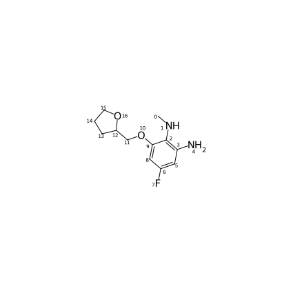 CNc1c(N)cc(F)cc1OCC1CCCO1